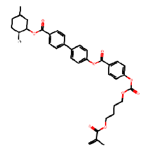 C=C(C)C(=O)OCCCCOC(=O)Oc1ccc(C(=O)Oc2ccc(-c3ccc(C(=O)OC4CC(C)CCC4C(C)C)cc3)cc2)cc1